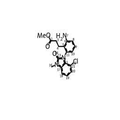 COC(=O)CCc1c(N)cccc1-n1c(=O)n(C)c2cccc(Cl)c21